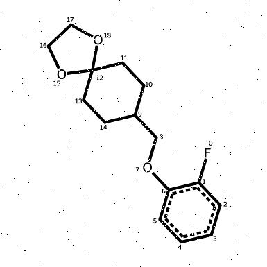 Fc1ccccc1OCC1CCC2(CC1)OCCO2